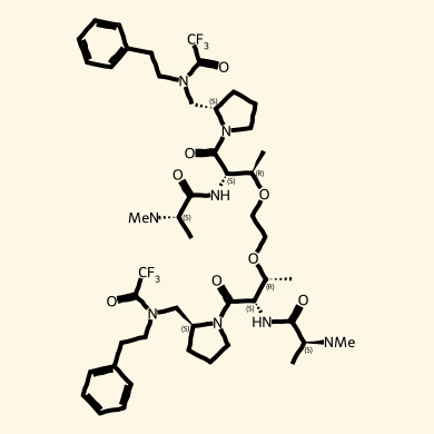 CN[C@@H](C)C(=O)N[C@H](C(=O)N1CCC[C@H]1CN(CCc1ccccc1)C(=O)C(F)(F)F)[C@@H](C)OCCO[C@H](C)[C@H](NC(=O)[C@H](C)NC)C(=O)N1CCC[C@H]1CN(CCc1ccccc1)C(=O)C(F)(F)F